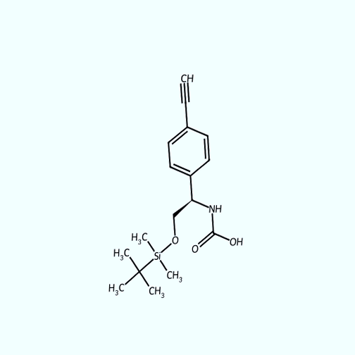 C#Cc1ccc([C@H](CO[Si](C)(C)C(C)(C)C)NC(=O)O)cc1